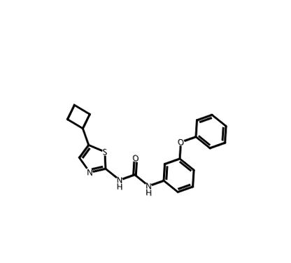 O=C(Nc1cccc(Oc2ccccc2)c1)Nc1ncc(C2CCC2)s1